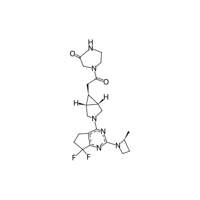 C[C@H]1CCN1c1nc(N2C[C@@H]3[C@@H](CC(=O)N4CCNC(=O)C4)[C@@H]3C2)c2c(n1)C(F)(F)CC2